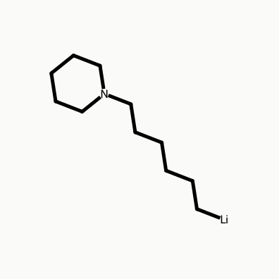 [Li][CH2]CCCCCN1CCCCC1